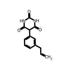 C=CCc1cccc(C2C(=O)NC(=O)NC2=O)c1